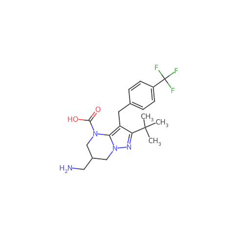 CC(C)(C)c1nn2c(c1Cc1ccc(C(F)(F)F)cc1)N(C(=O)O)CC(CN)C2